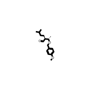 COc1ccc(CO[C@@H](C)[C@@H](C=O)CCC(C)C)cc1